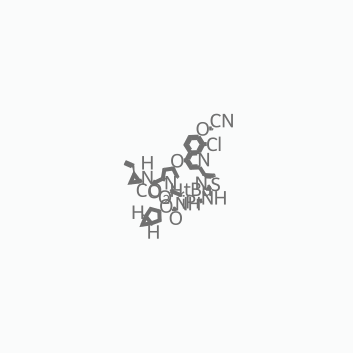 C=C[C@@H]1C[C@]1(NC(=O)C1C[C@@H](Oc2cc(-c3csc(NC(C)C)n3)nc3c(Cl)c(OCC#N)ccc23)CN1C(=O)[C@@H](NC(=O)O[C@@H]1C[C@@H]2C[C@@H]2C1)C(C)(C)C)C(=O)O